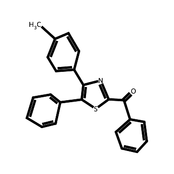 Cc1ccc(-c2nc(C(=O)c3ccccc3)sc2-c2ccccc2)cc1